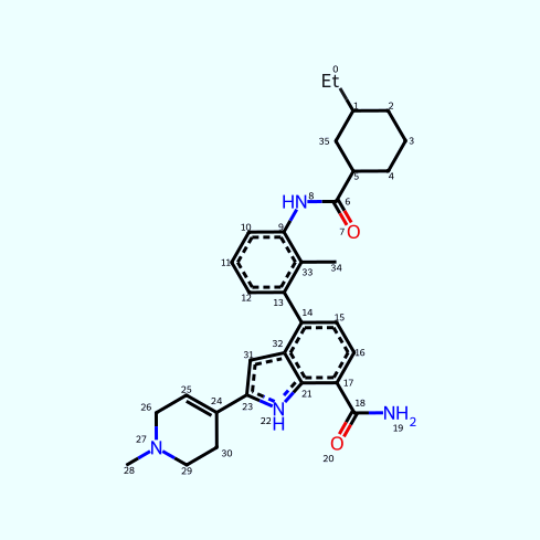 CCC1CCCC(C(=O)Nc2cccc(-c3ccc(C(N)=O)c4[nH]c(C5=CCN(C)CC5)cc34)c2C)C1